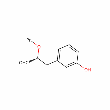 CC(C)O[C@H](C=O)Cc1cccc(O)c1